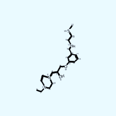 CCN1CCN(CC(O)COc2cccc(CNCCSC)c2)CC1